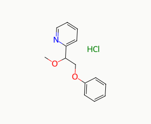 COC(COc1ccccc1)c1ccccn1.Cl